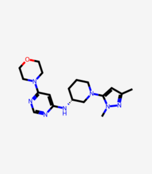 Cc1cc(N2CCC[C@@H](Nc3cc(N4CCOCC4)ncn3)C2)n(C)n1